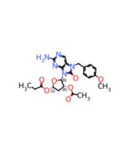 CCC(=O)O[C@H]1C[C@@H](OC(C)=O)[C@H](n2c(=O)n(Cc3ccc(OC)cc3)c3cnc(N)nc32)O1